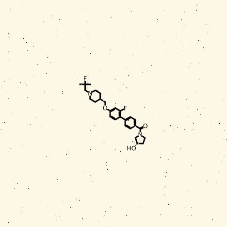 CC(C)(F)CN1CCC(COc2ccc(-c3ccc(C(=O)N4CC[C@H](O)C4)cc3)c(F)c2)CC1